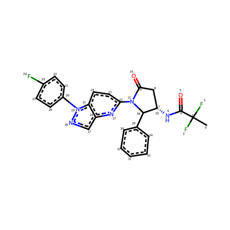 CC(F)(F)C(=O)N[C@H]1CC(=O)N(c2ccc3c(cnn3-c3ccc(F)cc3)n2)C1c1ccccc1